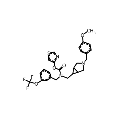 COc1ccc(CN2CC3C(C2)C3CN(Cc2cccc(OC(F)(F)F)c2)C(=O)Oc2cscn2)cc1